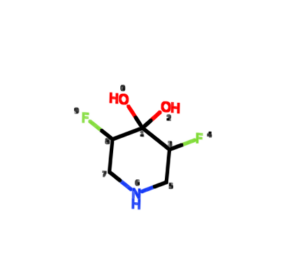 OC1(O)C(F)CNCC1F